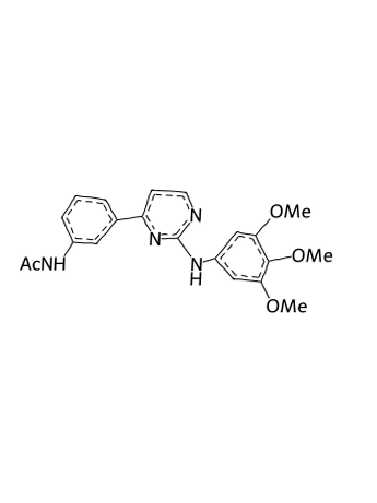 COc1cc(Nc2nccc(-c3cccc(NC(C)=O)c3)n2)cc(OC)c1OC